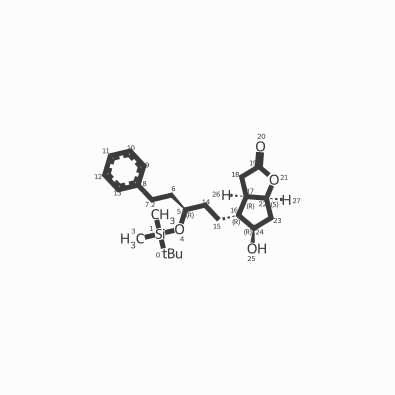 CC(C)(C)[Si](C)(C)O[C@@H](CCc1ccccc1)CC[C@@H]1[C@H]2CC(=O)O[C@H]2C[C@H]1O